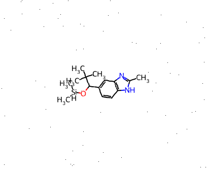 Cc1nc2cc(C(O[SiH](C)C)C(C)(C)C)ccc2[nH]1